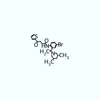 C=C(c1cc(Br)ccc1NC(=O)CCC(=O)c1cccs1)N1C[C@H](C)C[C@H](C)C1